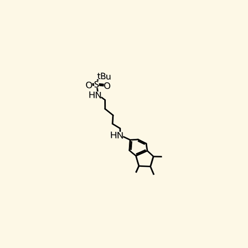 CC1c2ccc(NCCCCCNS(=O)(=O)C(C)(C)C)cc2C(C)C1C